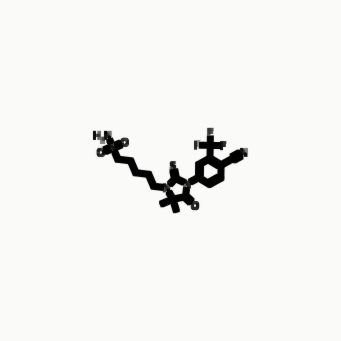 CC1(C)C(=O)N(c2ccc(C#N)c(C(F)(F)F)c2)C(=S)N1CCCCCS(N)(=O)=O